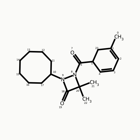 CC1=CC=CC(C(=O)N2N(C3CCCCCCC3)C(=O)C2(C)C)C1